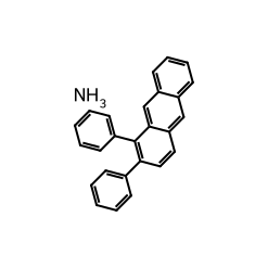 N.c1ccc(-c2ccc3cc4ccccc4cc3c2-c2ccccc2)cc1